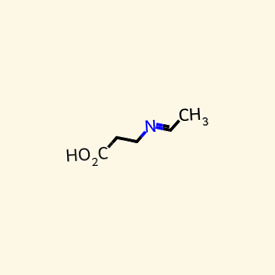 CC=NCCC(=O)O